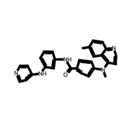 Cc1ccc2nccc(N(C)c3ccc(C(=O)Nc4cccc(Nc5ccncc5)c4)cc3)c2c1